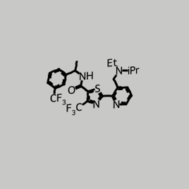 CCN(Cc1cccnc1-c1nc(C(F)(F)F)c(C(=O)NC(C)c2cccc(C(F)(F)F)c2)s1)C(C)C